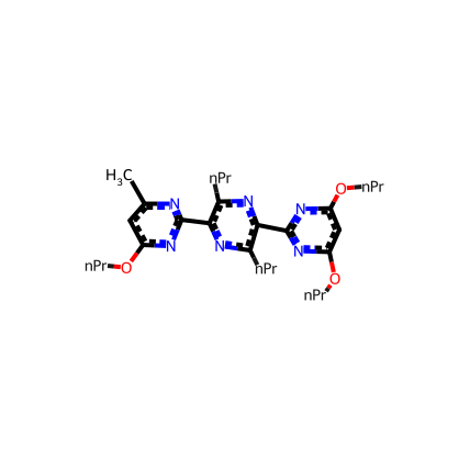 CCCOc1cc(C)nc(-c2nc(CCC)c(-c3nc(OCCC)cc(OCCC)n3)nc2CCC)n1